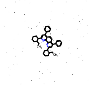 CCC1CCCCC1c1cc(-c2ccccc2)c2ccc3c(-c4ccccc4)cc(C4CCCCC4CC)nc3c2n1